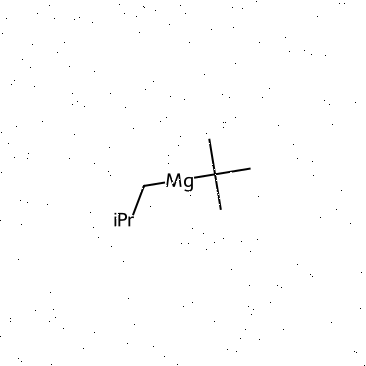 CC(C)[CH2][Mg][C](C)(C)C